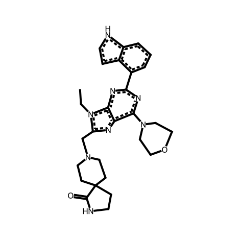 CCn1c(CN2CCC3(CCNC3=O)CC2)nc2c(N3CCOCC3)nc(-c3cccc4[nH]ccc34)nc21